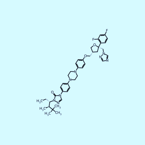 CC[C@@H]([C@H](C)C(C)(C)C)n1ncn(-c2ccc(N3CCN(c4ccc(OC[C@@H]5CO[C@@](Cn6cncn6)(c6ccc(F)cc6F)C5)cc4)CC3)cc2)c1=O